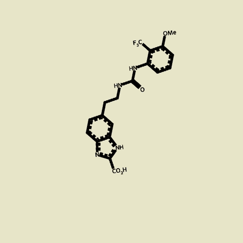 COc1cccc(NC(=O)NCCc2ccc3nc(C(=O)O)[nH]c3c2)c1C(F)(F)F